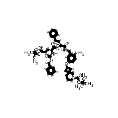 Cc1ccc(OC2CC3(CCCN(C(=O)OC(C)(C)C)C3)C2)cc1CNC(=O)[C@H](CCc1ccccc1)NC(=O)[C@H](CCC(=O)OC(C)(C)C)NC(=O)OCc1ccccc1